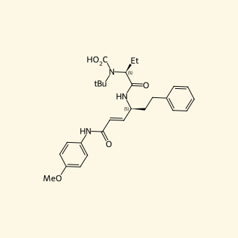 CC[C@@H](C(=O)N[C@H](C=CC(=O)Nc1ccc(OC)cc1)CCc1ccccc1)N(C(=O)O)C(C)(C)C